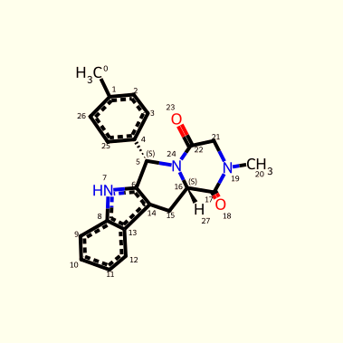 Cc1ccc([C@H]2c3[nH]c4ccccc4c3C[C@H]3C(=O)N(C)CC(=O)N23)cc1